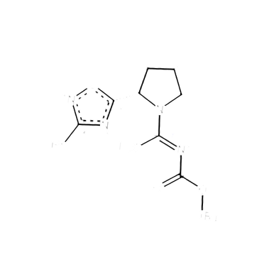 C/C(=N\C(=O)OC(C)(C)C)N1CCC[C@H]1c1nc(C(C)C)no1